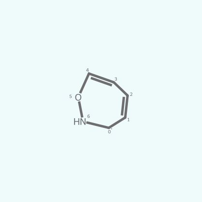 [C]1C=CC=CON1